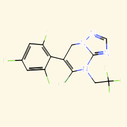 C[C@H](N1C(Cl)=C(c2c(F)cc(F)cc2F)Cn2ncnc21)C(F)(F)F